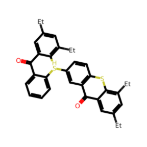 CCc1cc(CC)c2c(c1)C(=O)c1ccccc1[SH]2c1ccc2sc3c(CC)cc(CC)cc3c(=O)c2c1